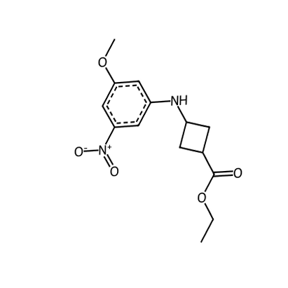 CCOC(=O)C1CC(Nc2cc(OC)cc([N+](=O)[O-])c2)C1